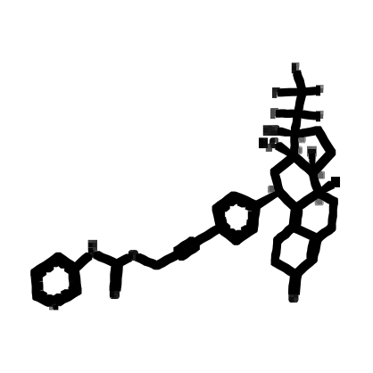 C[C@]12C[C@H](c3ccc(C#CCOC(=O)Nc4cccnc4)cc3)C3=C4CCC(=O)C=C4CC[C@H]3[C@@H]1CC[C@@]2(O)C(F)(F)C(F)(F)F